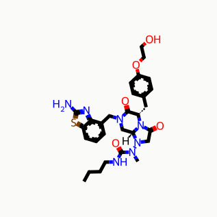 CCCCNC(=O)N(C)N1CC(=O)N2[C@@H](Cc3ccc(OCCO)cc3)C(=O)N(Cc3cccc4sc(N)nc34)C[C@@H]21